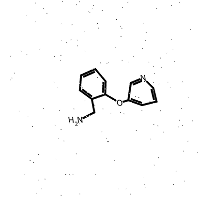 NCc1ccccc1Oc1cccnc1